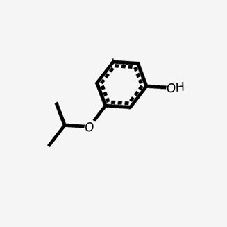 CC(C)Oc1c[c]cc(O)c1